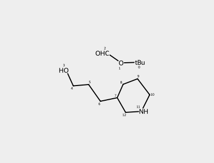 CC(C)(C)OC=O.OCCCC1CCCNC1